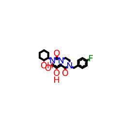 O=C1c2c(O)c(=O)n(C3CCCC[C@H]3O)c(=O)n2CCN1Cc1ccc(F)cc1